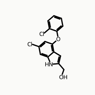 OCc1cc2c(Oc3ccccc3Cl)cc(Cl)cc2[nH]1